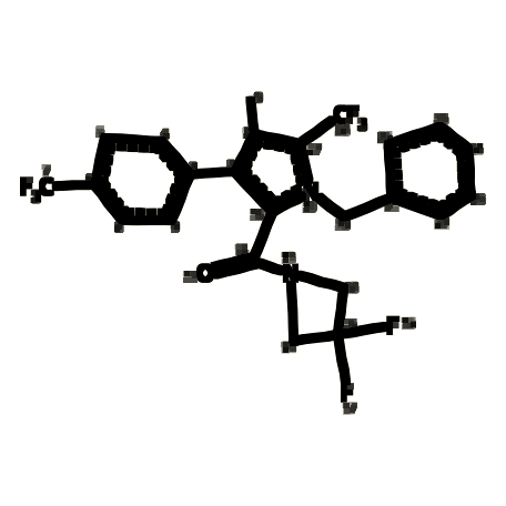 Cc1c(-c2ccc(C(F)(F)F)cc2)c(C(=O)N2CC(F)(F)C2)n(Cc2ccccc2)c1C(F)(F)F